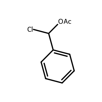 CC(=O)OC(Cl)c1ccccc1